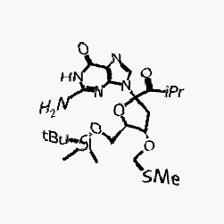 CSCO[C@H]1C[C@](C(=O)C(C)C)(n2cnc3c(=O)[nH]c(N)nc32)O[C@@H]1CO[Si](C)(C)C(C)(C)C